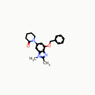 Cc1nc2c(OCc3ccccc3)cc(N3CCCCC3=O)cc2n1C